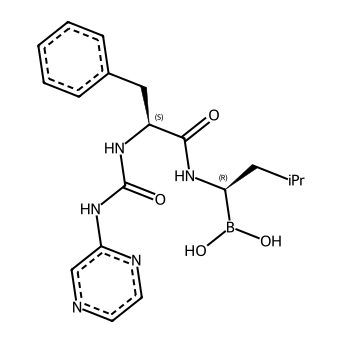 CC(C)C[C@H](NC(=O)[C@H](Cc1ccccc1)NC(=O)Nc1cnccn1)B(O)O